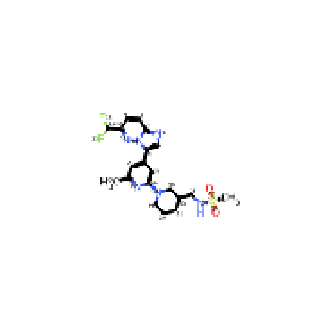 Cc1cc(-c2cnc3ccc(C(F)F)nn23)cc(N2CCCC(CNS(C)(=O)=O)C2)n1